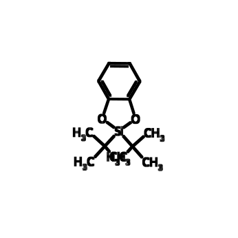 CC(C)(C)[Si]1(C(C)(C)C)Oc2ccccc2O1